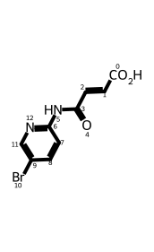 O=C(O)C=CC(=O)Nc1ccc(Br)cn1